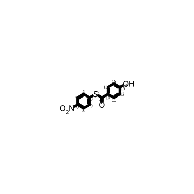 O=C(Sc1ccc([N+](=O)[O-])cc1)c1ccc(O)cc1